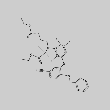 CCOC(=O)CCCN(c1c(F)c(F)nc(Oc2cc(C#N)ccc2OCc2ccccc2)c1F)C(C)(C)C(=O)OCC